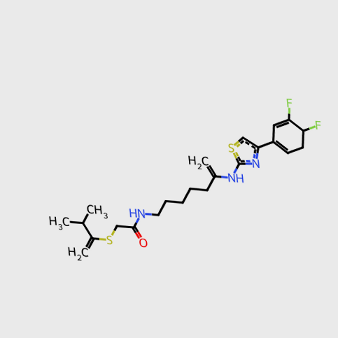 C=C(CCCCCNC(=O)CSC(=C)C(C)C)Nc1nc(C2=CCC(F)C(F)=C2)cs1